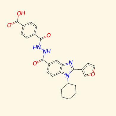 O=C(O)c1ccc(C(=O)NNC(=O)c2ccc3c(c2)nc(-c2ccoc2)n3C2CCCCC2)cc1